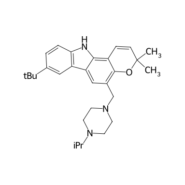 CC(C)N1CCN(Cc2cc3c([nH]c4ccc(C(C)(C)C)cc43)c3c2OC(C)(C)C=C3)CC1